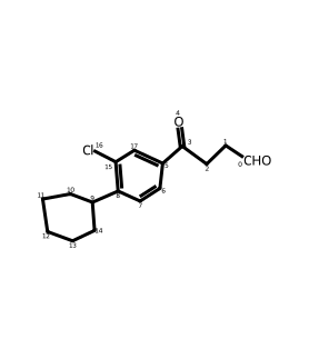 O=CCCC(=O)c1ccc(C2CCCCC2)c(Cl)c1